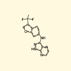 CC(F)(F)c1coc2cc(Nc3n[nH]c4nccnc34)ccc12